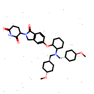 CO[C@H]1CC[C@H](CN(C[C@H]2CC[C@H](OC)CC2)C2CCCCC2Oc2ccc3c(c2)CN(C2CCC(=O)NC2=O)C3=O)CC1